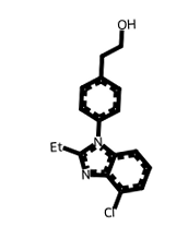 CCc1nc2c(Cl)cccc2n1-c1ccc(CCO)cc1